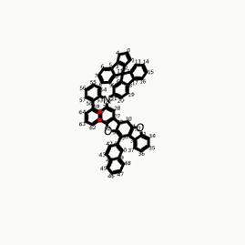 C1=CC2=C(C1)c1ccccc1C21c2ccccc2-c2ccc(N(c3ccc4c(c3)C3Cc5oc6ccccc6c5C(c5ccc6ccccc6c5)=C3O4)c3ccccc3-c3ccccc3)cc21